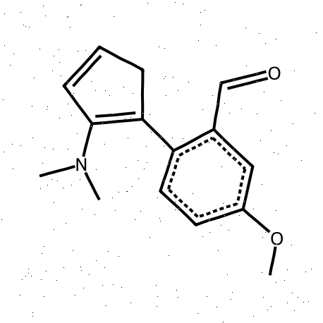 COc1ccc(C2=C(N(C)C)C=CC2)c(C=O)c1